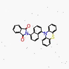 O=C1c2ccccc2C(=O)N1c1cccc2c(N3c4ccccc4Sc4ccccc43)cccc12